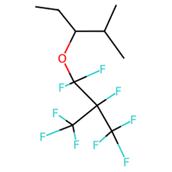 CCC(OC(F)(F)C(F)(C(F)(F)F)C(F)(F)F)C(C)C